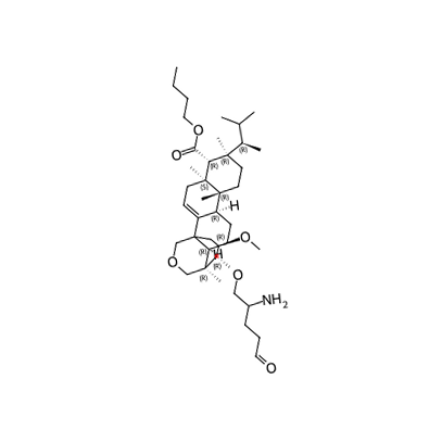 CCCCOC(=O)[C@@H]1[C@@](C)([C@H](C)C(C)C)CC[C@]2(C)[C@H]3CC[C@@H]4C5(COC[C@]4(C)[C@@H](OCC(N)CCC=O)[C@H](OC)C5)C3=CC[C@@]12C